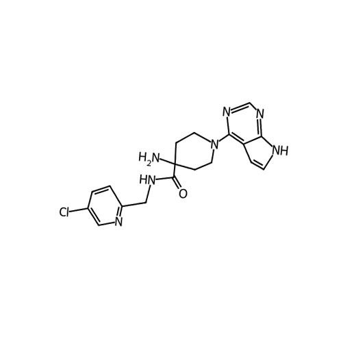 NC1(C(=O)NCc2ccc(Cl)cn2)CCN(c2ncnc3[nH]ccc23)CC1